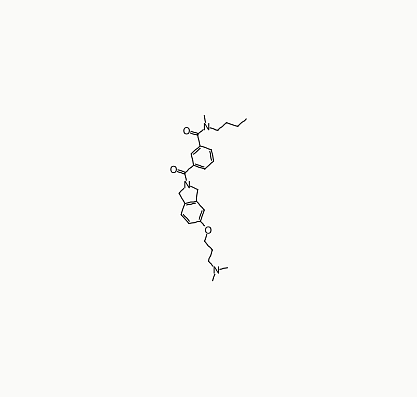 CCCCN(C)C(=O)c1cccc(C(=O)N2Cc3ccc(OCCCN(C)C)cc3C2)c1